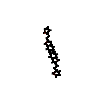 c1csc(CCc2cc3cc4c(cc3s2)-c2cc3cc(CCc5cccs5)sc3cc2-4)c1